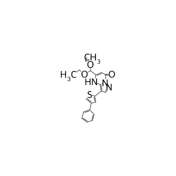 CCOC(OCC)c1cc(=O)n2ncc(-c3cc(-c4ccccc4)cs3)c2[nH]1